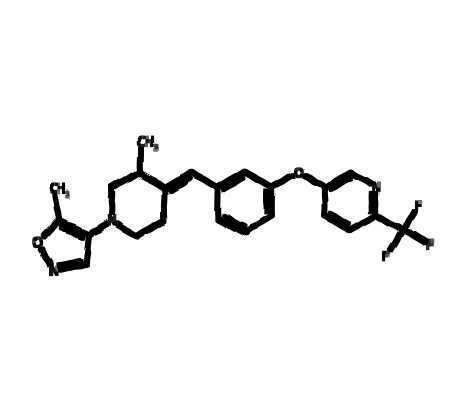 Cc1oncc1N1CC/C(=C\c2cccc(Oc3ccc(C(F)(F)F)nc3)c2)C(C)C1